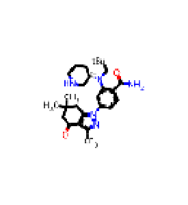 CC(C)(C)CN(c1cc(-n2nc(C(F)(F)F)c3c2CC(C)(C)CC3=O)ccc1C(N)=O)[C@H]1CCCNC1